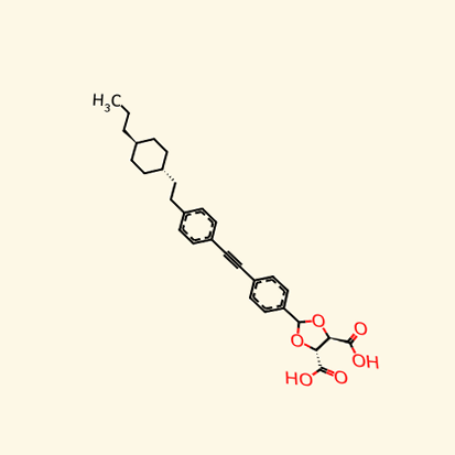 CCC[C@H]1CC[C@H](CCc2ccc(C#Cc3ccc(C4O[C@@H](C(=O)O)[C@H](C(=O)O)O4)cc3)cc2)CC1